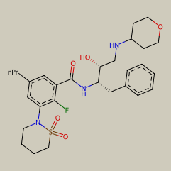 CCCc1cc(C(=O)N[C@@H](Cc2ccccc2)[C@H](O)CNC2CCOCC2)c(F)c(N2CCCCS2(=O)=O)c1